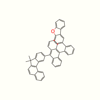 CC1(C)c2ccc(-c3c4ccccc4c(-c4ccccc4-c4ccc5oc6ccccc6c5c4)c4ccccc34)cc2-c2c1ccc1ccccc21